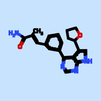 C/C(=C\c1cccc(-c2ncnc3[nH]cc(C4CCCO4)c23)c1)C(N)=O